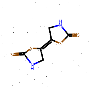 S=C1NCC(=C2CNC(=S)S2)S1